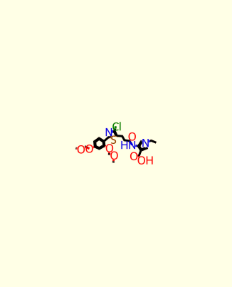 CCn1cc(NC(=O)CCc2sc(-c3ccc(OCOC)cc3OCOC)nc2Cl)c(C(=O)O)c1